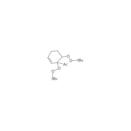 CC(=O)C1(OOC(C)(C)C)C=CCCC1OOC(C)(C)C